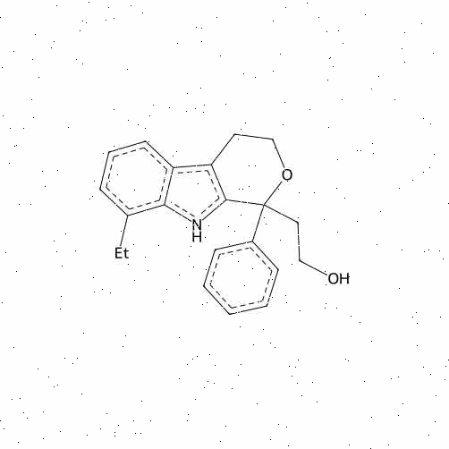 CCc1cccc2c3c([nH]c12)C(CCO)(c1ccccc1)OCC3